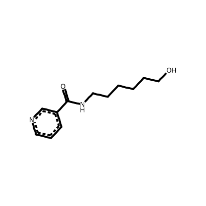 O=C(NCCCCCCO)c1cccnc1